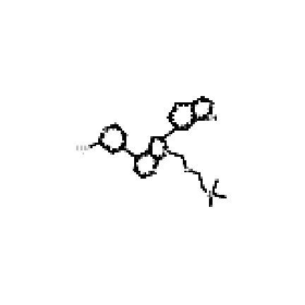 C[Si](C)(C)CCOCn1c(-c2ccc3cn[nH]c3c2)cc2c(-c3ccnc(N)c3)ccnc21